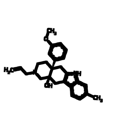 C=CCN1CC[C@@]2(c3cccc(OC)c3)Cc3[nH]c4cc(C)ccc4c3C[C@]2(O)C1